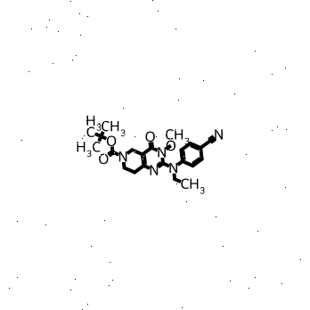 CCN(c1ccc(C#N)cc1)c1nc2c(c(=O)n1OC)CN(C(=O)OC(C)(C)C)CC2